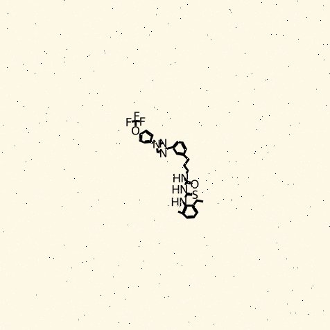 CCc1cccc(C)c1NC(=S)NC(=O)NCCCc1cccc(-c2ncn(-c3ccc(OC(F)(F)F)cc3)n2)c1